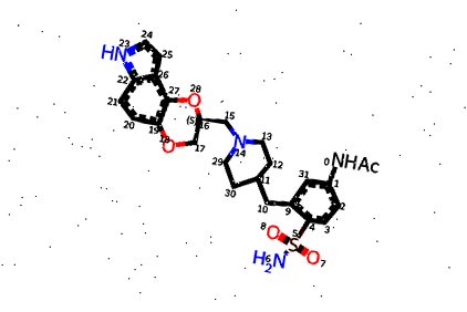 CC(=O)Nc1ccc(S(N)(=O)=O)c(CC2CCN(C[C@H]3COc4ccc5[nH]ccc5c4O3)CC2)c1